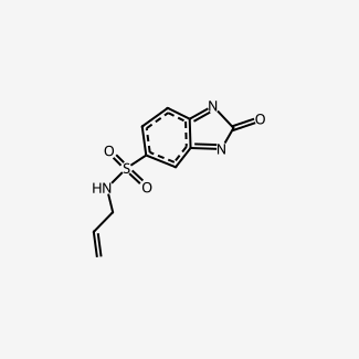 C=CCNS(=O)(=O)c1ccc2c(c1)=NC(=O)N=2